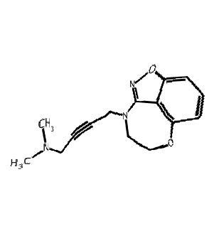 CN(C)CC#CCN1CCOc2cccc3onc1c23